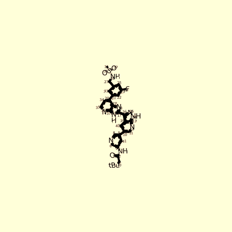 CC(C)(C)CC(=O)Nc1cncc(-c2cnc3[nH]nc(-c4nc5c(-c6cc(F)cc(CNS(C)(=O)=O)c6)ccnc5[nH]4)c3c2)c1